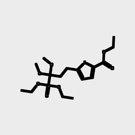 CCOC(=O)c1ccc(CCC(OC)(OC)P(=O)(OCC)OCC)s1